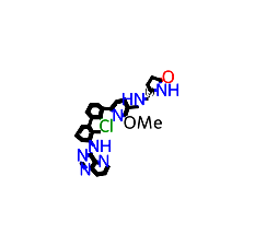 COc1nc(-c2cccc(-c3cccc(Nc4ncnc5cccnc45)c3C)c2Cl)ccc1CNC[C@@H]1CCC(=O)N1